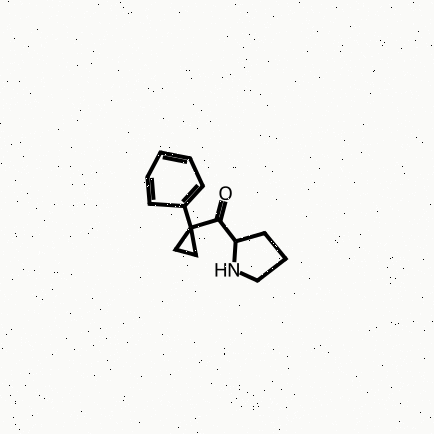 O=C(C1CCCN1)C1(c2ccccc2)CC1